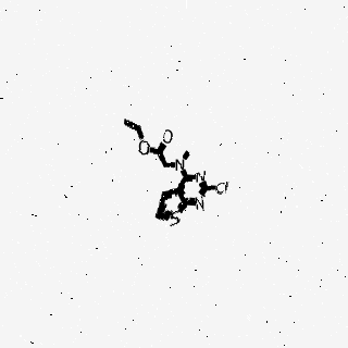 CCOC(=O)CN(C)c1nc(Cl)nc2sccc12